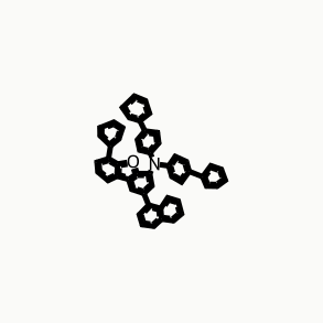 c1ccc(-c2ccc(N(c3ccc(-c4ccccc4)cc3)c3cc(-c4cccc5ccccc45)cc4c3oc3c(-c5ccccc5)cccc34)cc2)cc1